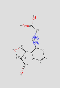 NC1CCCCC1.NCC(=O)O.O=Cc1ccoc1